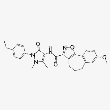 CCc1ccc(-n2c(=O)c(NC(=O)c3noc4c3CCCc3cc(OC)ccc3-4)c(C)n2C)cc1